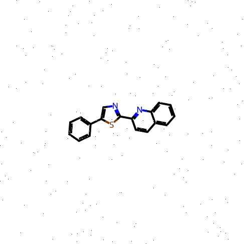 c1ccc(-c2cnc(-c3ccc4ccccc4n3)s2)cc1